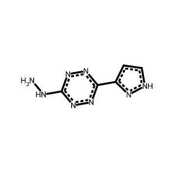 NNc1nnc(-c2cc[nH]n2)nn1